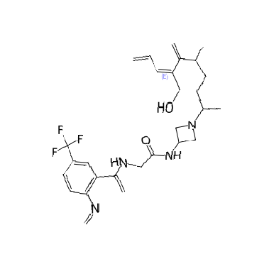 C=C/C=C(/CO)C(=C)C(C)CCC(C)N1CC(NC(=O)CNC(=C)c2cc(C(F)(F)F)ccc2N=C)C1